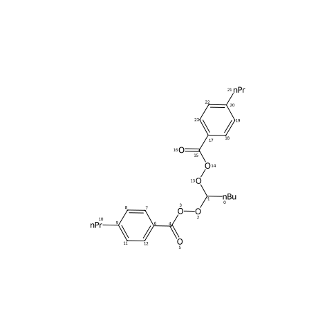 [CH2]CCC[C](OOC(=O)c1ccc(CCC)cc1)OOC(=O)c1ccc(CCC)cc1